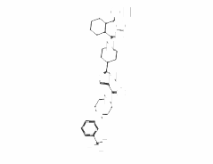 O=C(O)C1CCCCC1C(=O)N1CCC(c2nc(C(=O)N3CCN(c4cccc(C(F)(F)F)c4)CC3)cs2)CC1